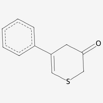 O=C1CSC=C(c2ccccc2)C1